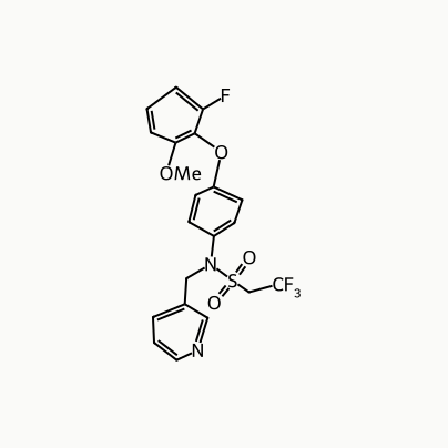 COc1cccc(F)c1Oc1ccc(N(Cc2cccnc2)S(=O)(=O)CC(F)(F)F)cc1